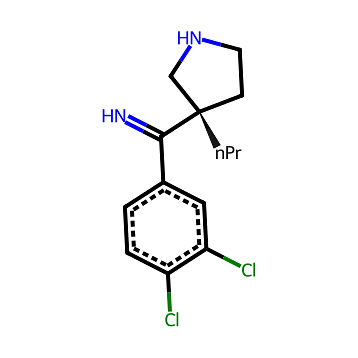 CCC[C@]1(C(=N)c2ccc(Cl)c(Cl)c2)CCNC1